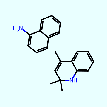 CC1=CC(C)(C)Nc2ccccc21.Nc1cccc2ccccc12